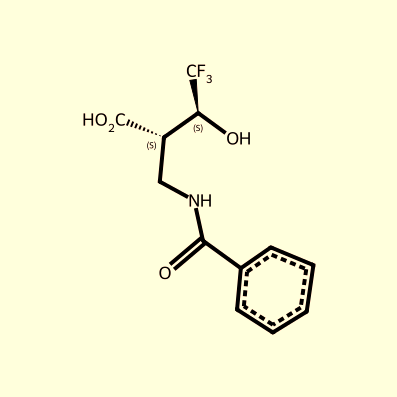 O=C(NC[C@H](C(=O)O)[C@H](O)C(F)(F)F)c1ccccc1